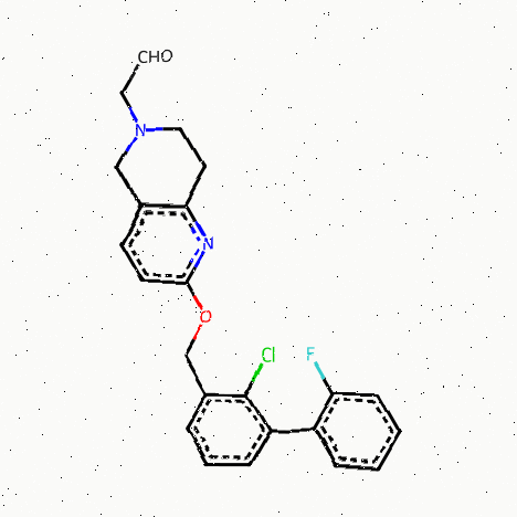 O=CCN1CCc2nc(OCc3cccc(-c4ccccc4F)c3Cl)ccc2C1